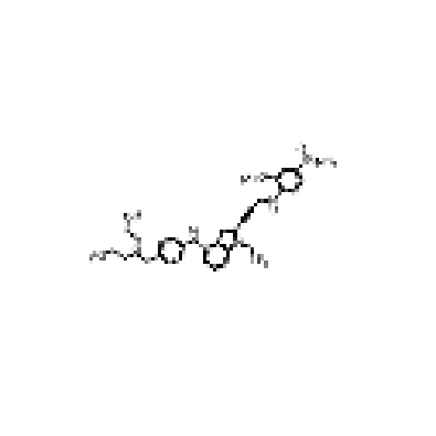 COc1cc([S+](N)[O-])ccc1NCC#Cc1cc2c(Nc3ccc(CN(CCO)CCO)cc3)cccc2n1CC(F)(F)F